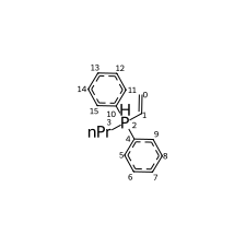 C=C[PH](CCC)(c1ccccc1)c1ccccc1